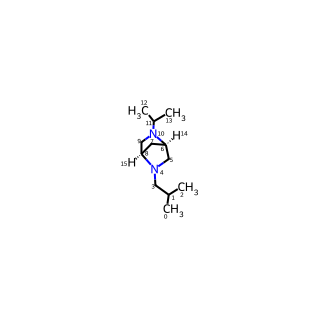 CC(C)CN1C[C@H]2C[C@@H]1CN2C(C)C